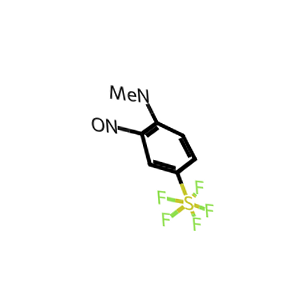 CNc1ccc(S(F)(F)(F)(F)F)cc1N=O